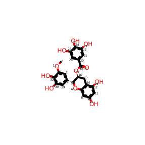 COc1cc([C@H]2Oc3cc(O)cc(O)c3C[C@H]2OC(=O)c2cc(O)c(O)c(O)c2)cc(O)c1O